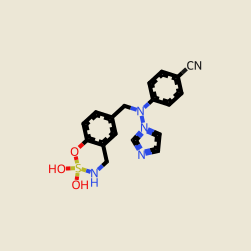 N#Cc1ccc(N(Cc2ccc3c(c2)CNS(O)(O)O3)n2ccnc2)cc1